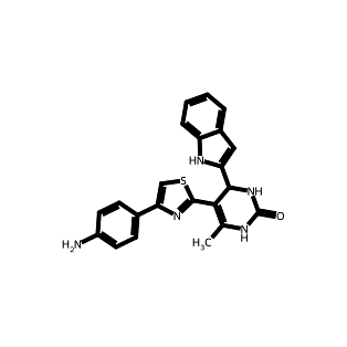 CC1=C(c2nc(-c3ccc(N)cc3)cs2)C(c2cc3ccccc3[nH]2)NC(=O)N1